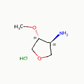 CO[C@H]1COC[C@@H]1N.Cl